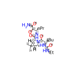 CCCC(NC(=O)[C@@H]1[C@@H]2[C@H](CN1C(=O)[C@@H](NC(=O)NCC)C(C)(C)C)C2(C)C)C(=O)C(N)=O